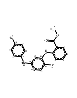 COC(=O)c1ccccc1Oc1nc(Nc2ccc(O)cc2)ncc1Br